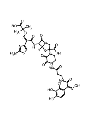 CC(C)(O/N=C(\C(=O)NC1C(=O)N2CC(C(=O)O)(N3CCN(NC(=O)CCNC(=O)/C(=N\O)c4ccc(O)c(O)c4Cl)C(=O)C3=O)S[C@H]12)c1csc(N)n1)C(=O)O